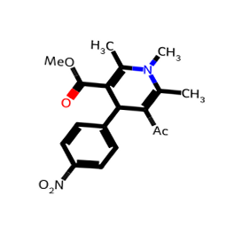 COC(=O)C1=C(C)N(C)C(C)=C(C(C)=O)C1c1ccc([N+](=O)[O-])cc1